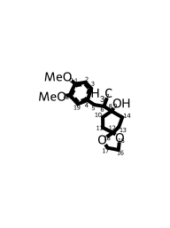 COc1ccc(CC(C)C2(O)CCC3(CC2)OCCO3)cc1OC